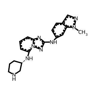 Cn1ncc2ccc(Nc3nc4cccc(N[C@H]5CCCNC5)n4n3)cc21